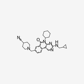 N#CC1CCN(Cc2ccc3c(c2)c(=O)n(C2CCCCC2)c2nc(NCC4CC4)ncc32)CC1